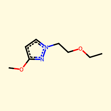 CCOCCn1ccc(OC)n1